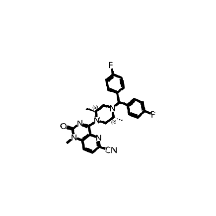 C[C@@H]1CN(c2nc(=O)n(C)c3ccc(C#N)nc23)[C@@H](C)CN1C(c1ccc(F)cc1)c1ccc(F)cc1